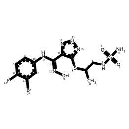 CC(CNS(N)(=O)=O)Sc1nonc1C(=NO)Nc1ccc(F)c(Br)c1